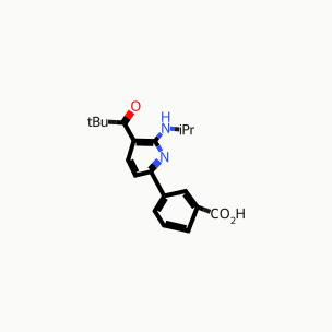 CC(C)Nc1nc(-c2cccc(C(=O)O)c2)ccc1C(=O)C(C)(C)C